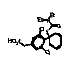 CCN(CC)C(=O)SC1(c2c(Cl)cc(CC(=O)O)cc2Cl)CCCCC1